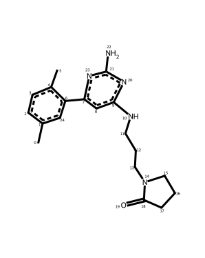 Cc1ccc(C)c(-c2cc(NCCCN3CCCC3=O)nc(N)n2)c1